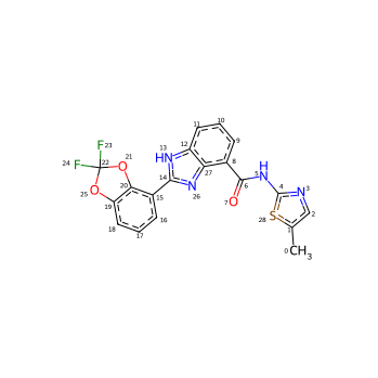 Cc1cnc(NC(=O)c2cccc3[nH]c(-c4cccc5c4OC(F)(F)O5)nc23)s1